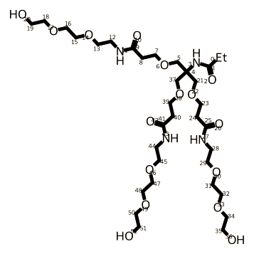 CCC(=O)NC(COCCC(=O)NCCOCCOCCO)(COCCC(=O)NCCOCCOCCO)COCCC(=O)NCCOCCOCCO